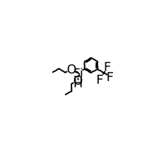 CCCO[SiH](OCCC)c1cccc(C(F)(F)F)c1